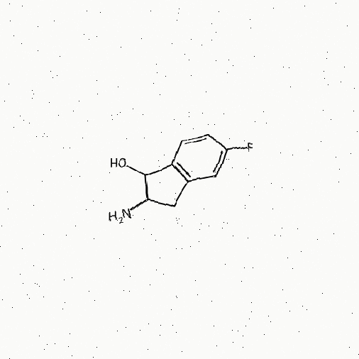 NC1Cc2cc(F)ccc2C1O